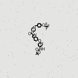 Cn1c(C(=O)N2CCN(Cc3ccc(OCC(F)(F)F)cc3)CC2)cc2ccc(Oc3ccc(NC(=O)OC(C)(C)C)cn3)cc21